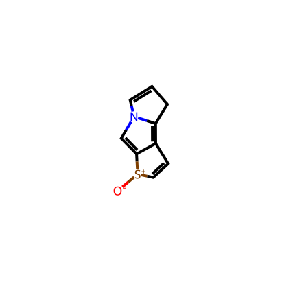 [O-][s+]1ccc2c3n(cc21)C=CC3